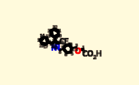 O=C(O)COC[C@H]1CC[C@@H](Cn2nc(-c3ccccc3)c(-c3ccccc3)c2C(F)(F)F)CC1